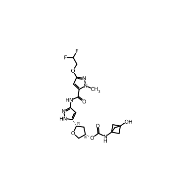 Cn1nc(OCC(F)F)cc1C(=O)Nc1cc([C@@H]2C[C@H](OC(=O)NC34CC(O)(C3)C4)CO2)[nH]n1